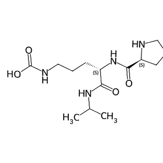 CC(C)NC(=O)[C@H](CCCNC(=O)O)NC(=O)[C@@H]1CCCN1